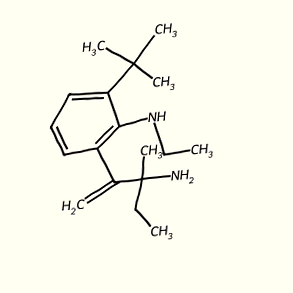 C=C(c1cccc(C(C)(C)C)c1NCC)C(C)(N)CC